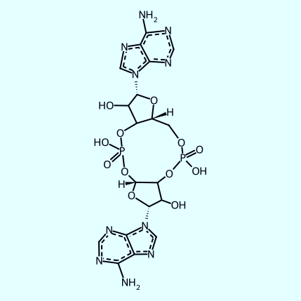 Nc1ncnc2c1ncn2[C@@H]1O[C@@H]2OP(=O)(O)OC3C(O)[C@H](n4cnc5c(N)ncnc54)O[C@@H]3COP(=O)(O)OC2C1O